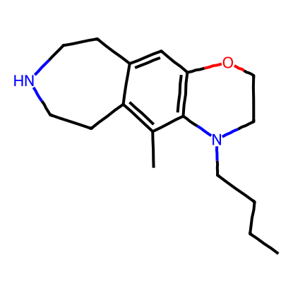 CCCCN1CCOc2cc3c(c(C)c21)CCNCC3